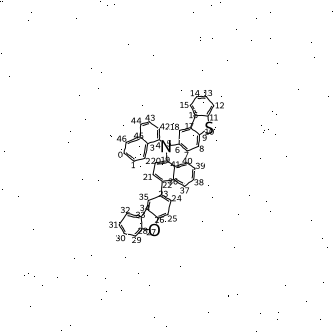 c1ccc2c(N(c3ccc4sc5ccccc5c4c3)c3ccc(-c4ccc5oc6ccccc6c5c4)c4ccccc34)cccc2c1